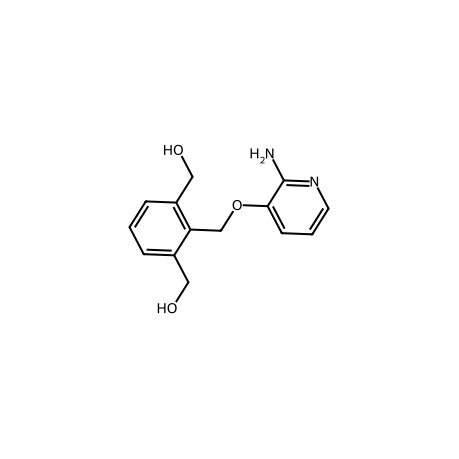 Nc1ncccc1OCc1c(CO)cccc1CO